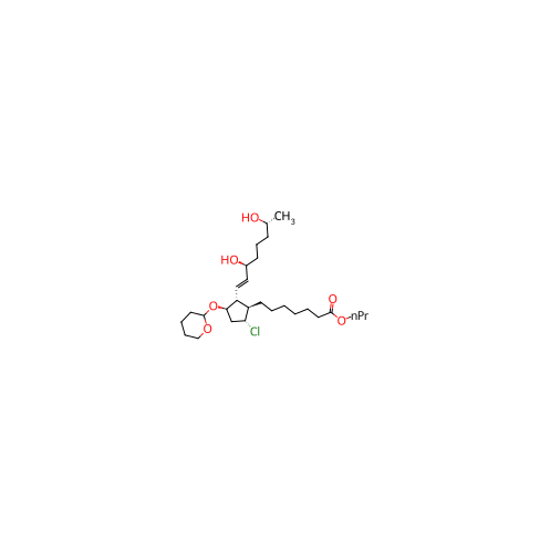 CCCOC(=O)CCCCCC[C@@H]1[C@@H](C=C[C@@H](O)CCC[C@@H](C)O)[C@H](OC2CCCCO2)C[C@H]1Cl